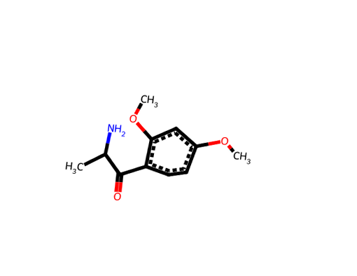 COc1ccc(C(=O)C(C)N)c(OC)c1